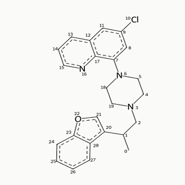 CC(CN1CCN(c2cc(Cl)cc3cccnc23)CC1)c1coc2ccccc12